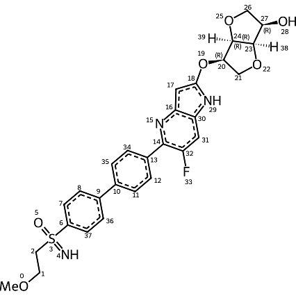 COCCS(=N)(=O)c1ccc(-c2ccc(-c3nc4cc(O[C@@H]5CO[C@H]6[C@@H]5OC[C@H]6O)[nH]c4cc3F)cc2)cc1